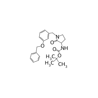 CC(C)(C)OC(=O)NC1CCN(Cc2cccc(OCc3ccccc3)c2)C1=O